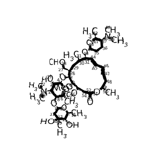 CO[C@@H]1[C@@H](O[C@@H]2O[C@H](C)[C@@H](O[C@H]3C[C@@](C)(O)[C@@H](O)[C@H](C)O3)[C@H](N(C)C)[C@H]2O)[C@@H](CC=O)C[C@@H](C)[C@@H](O[C@H]2CC[C@H](N(C)C)[C@@H](C)O2)/C=C/C=C/C[C@@H](C)OC(=O)C[C@H]1OC(C)=O